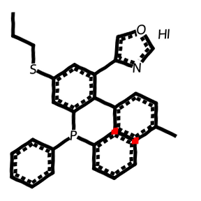 CCCSc1cc(-c2cocn2)c(-c2ccc(C)cc2)c(P(c2ccccc2)c2ccccc2)c1.I